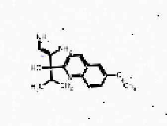 COc1ccc2nc(C(O)(/C(N)=C/N)C(C)C)ccc2c1